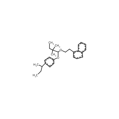 CCC(C)c1ccc(OC(OCCc2cccc3ccccc23)C(C)(C)CC)cc1